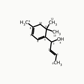 C/C=C/C(O)C1=CC=C(C)CC1(C)C